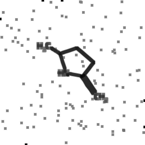 C=C1CCC(C)N1